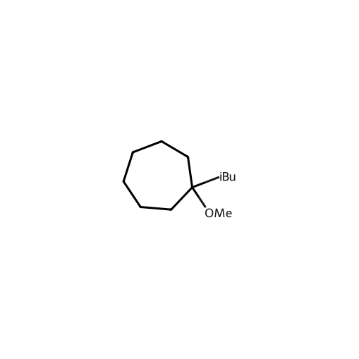 CCC(C)C1(OC)CCCCCC1